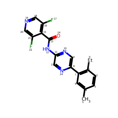 CCc1ccc(C)cc1-c1cnc(NC(=O)c2c(F)cncc2F)cn1